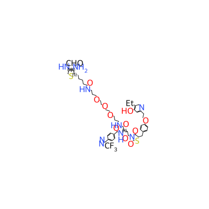 CCc1cnc(CCOc2ccc(CC3SC(=O)N(C(=O)C[C@@H](NC(=O)c4ccc(C5(C(F)(F)F)N=N5)cc4)C(=O)NCCCOCCOCCOCCCNC(=O)CCCC[C@@H]4SC[C@H](NC=O)[C@@H]4N)C3=O)cc2)cc1O